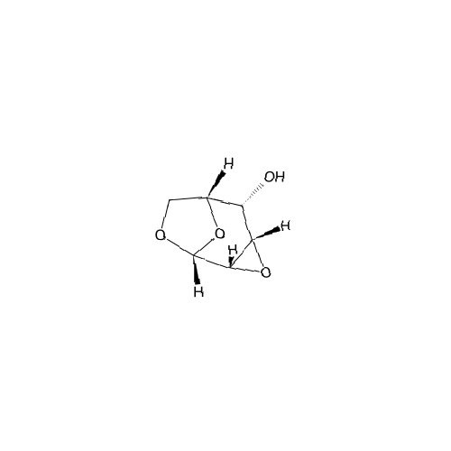 O[C@@H]1[C@@H]2O[C@@H]2[C@@H]2OC[C@H]1O2